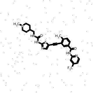 Cc1ccc(C(=O)Nc2cc(C(F)(F)F)ccn2)cc1C#Cc1cnc(NC(=O)NCC2CCN(C)CC2)s1